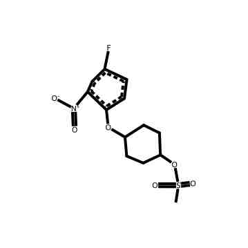 CS(=O)(=O)OC1CCC(Oc2ccc(F)cc2[N+](=O)[O-])CC1